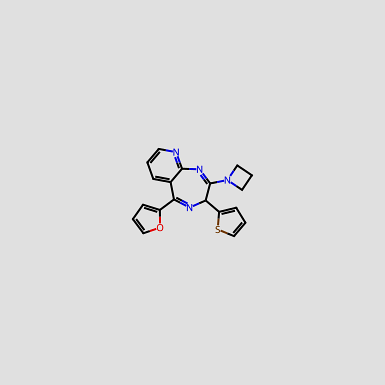 c1coc(C2=NC(c3cccs3)C(N3CCC3)=Nc3ncccc32)c1